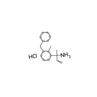 C=CC(C)(N)c1cccc(Cc2ccccc2)c1C.Cl